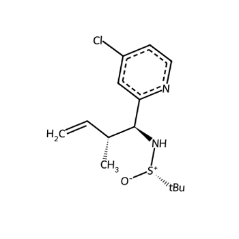 C=C[C@@H](C)[C@H](N[S@@+]([O-])C(C)(C)C)c1cc(Cl)ccn1